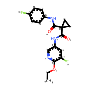 CCOc1ncc(NC(=O)C2(C(=O)Nc3ccc(F)cc3)CC2)cc1F